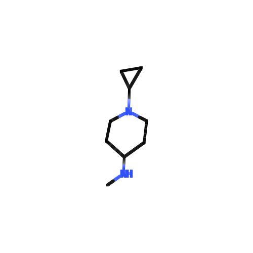 CNC1CCN(C2CC2)CC1